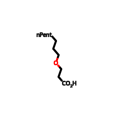 CCCCCCCCOCCC(=O)O